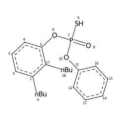 CCCCc1cccc(OP(=O)(S)Oc2ccccc2)c1CCCC